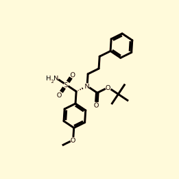 COc1ccc([C@@H](N(CCCc2ccccc2)C(=O)OC(C)(C)C)S(N)(=O)=O)cc1